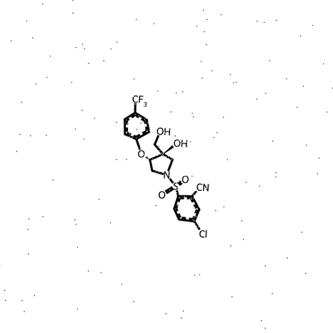 N#Cc1cc(Cl)ccc1S(=O)(=O)N1C[C@H](Oc2ccc(C(F)(F)F)cc2)[C@](O)(CO)C1